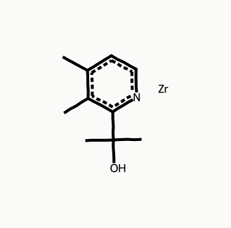 Cc1ccnc(C(C)(C)O)c1C.[Zr]